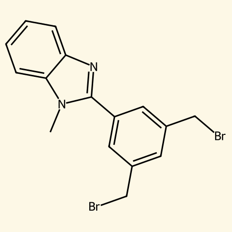 Cn1c(-c2cc(CBr)cc(CBr)c2)nc2ccccc21